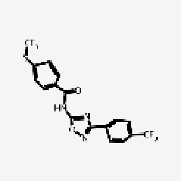 O=C(Nc1nc(-c2ccc(C(F)(F)F)cc2)no1)c1ccc(SC(F)(F)F)cc1